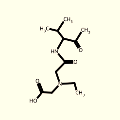 CCN(CC(=O)O)CC(=O)NC(C(C)=O)C(C)C